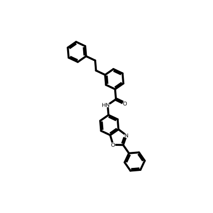 O=C(Nc1ccc2oc(-c3ccccc3)nc2c1)c1cccc(CCc2ccccc2)c1